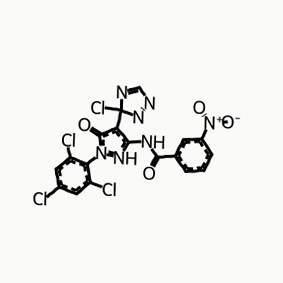 O=C(Nc1[nH]n(-c2c(Cl)cc(Cl)cc2Cl)c(=O)c1C1(Cl)N=CN=N1)c1cccc([N+](=O)[O-])c1